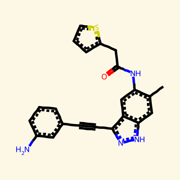 Cc1cc2[nH]nc(C#Cc3cccc(N)c3)c2cc1NC(=O)Cc1cccs1